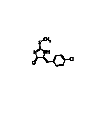 CSC1=NC(=O)C(=Cc2ccc(Cl)cc2)N1